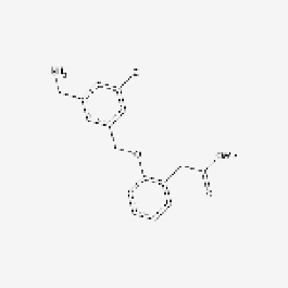 COC(=O)Cc1ccccc1OCc1cc(Cl)cc(CN)c1